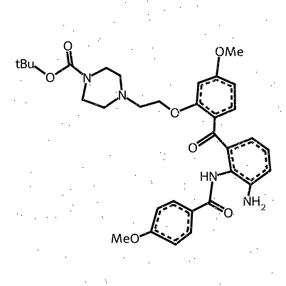 COc1ccc(C(=O)Nc2c(N)cccc2C(=O)c2ccc(OC)cc2OCCN2CCN(C(=O)OC(C)(C)C)CC2)cc1